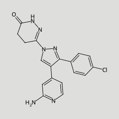 Nc1cc(-c2cn(C3=NNC(=O)CC3)nc2-c2ccc(Cl)cc2)ccn1